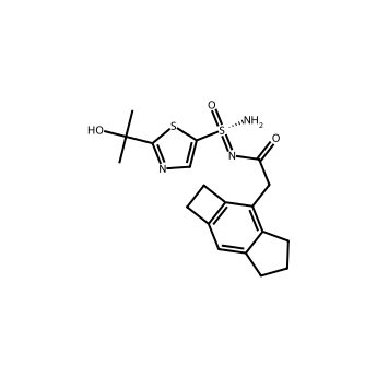 CC(C)(O)c1ncc([S@@](N)(=O)=NC(=O)Cc2c3c(cc4c2CC4)CCC3)s1